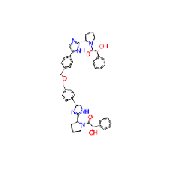 O=C([C@H](O)c1ccccc1)N1CCC[C@H]1c1nc(-c2ccc(COCc3ccc(-c4cnc([C@@H]5CCCN5C(=O)[C@H](O)c5ccccc5)[nH]4)cc3)cc2)c[nH]1